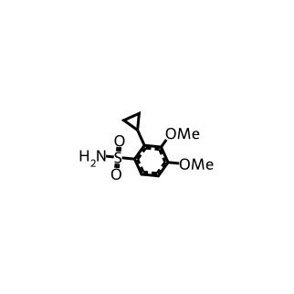 COc1ccc(S(N)(=O)=O)c(C2CC2)c1OC